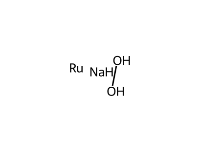 OO.[NaH].[Ru]